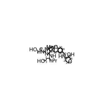 CCCC(CCO)Nc1nc(NC(=O)O)nc2cnn(Cc3cc(CN[C@H]4CCOC[C@H]4O)ccc3OC)c12